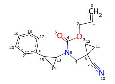 C=CCOC(=O)N(CC1(C#N)CC1)C1CC1c1ccccc1